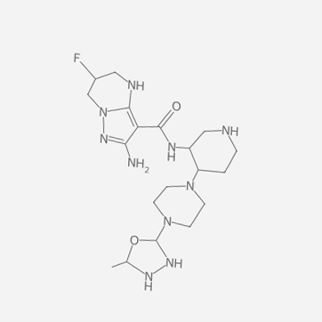 CC1NNC(N2CCN(C3CCNCC3NC(=O)c3c(N)nn4c3NCC(F)C4)CC2)O1